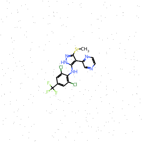 CSc1n[nH]c(Nc2c(Cl)cc(C(F)(F)F)cc2Cl)c1-c1cnccn1